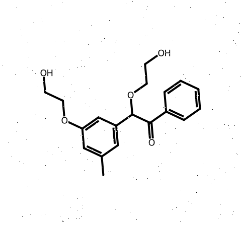 Cc1cc(OCCO)cc(C(OCCO)C(=O)c2ccccc2)c1